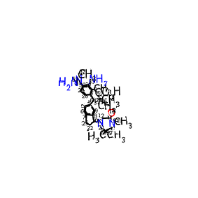 Cc1c([C@@H](c2ccc3c(c2)C(N2CC(=O)N(C)CC(C)(C)C2)CC3)C(C)(C)C(=O)O)ccc(N(C)N)c1N